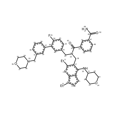 CCc1nc2c(cnn2CC)c(NC2CCOCC2)c1CN(Cc1ccc(F)c(-c2cccc(CN3CCOCC3)c2)c1)C(=O)c1cccc(C(N)=O)c1